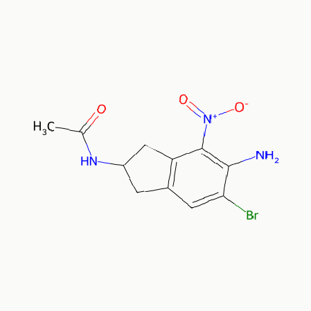 CC(=O)NC1Cc2cc(Br)c(N)c([N+](=O)[O-])c2C1